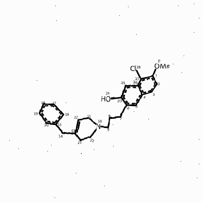 COc1ccc2cc(CCCN3CC=C(Cc4ccccc4)CC3)c(O)cc2c1Cl